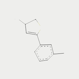 Cc1cccc(C2=CC(C(C)C)CS2)c1